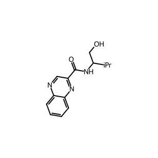 CC(C)C(CO)NC(=O)c1cnc2ccccc2n1